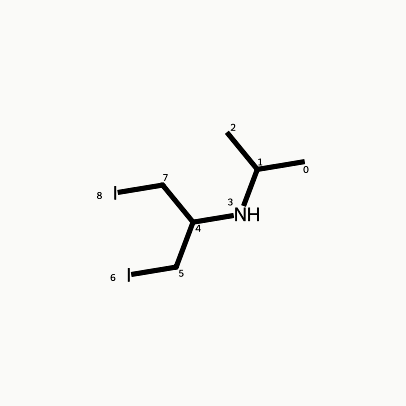 CC(C)NC(CI)CI